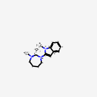 C[C@H]1N(C)CCCCN1c1cc2ccccc2n1C